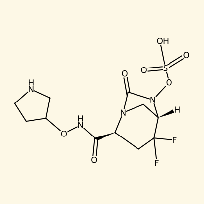 O=C(NOC1CCNC1)[C@@H]1CC(F)(F)[C@@H]2CN1C(=O)N2OS(=O)(=O)O